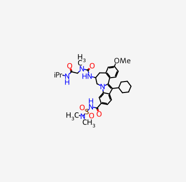 COc1ccc2c(c1)CC(NC(=O)N(C)CC(=O)NC(C)C)Cn1c-2c(C2CCCCC2)c2ccc(C(=O)NS(=O)(=O)N(C)C)cc21